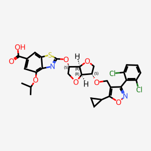 CC(C)Oc1cc(C(=O)O)cc2sc(O[C@H]3CO[C@H]4[C@@H]3OC[C@@H]4OCc3c(-c4c(Cl)cccc4Cl)noc3C3CC3)nc12